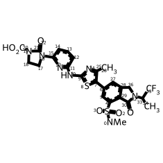 CNS(=O)(=O)c1cc(-c2sc(Nc3cccc(N4CCN(C(=O)O)C4=O)n3)nc2C)cc2c1C(=O)N(C(C)C(F)(F)F)C2